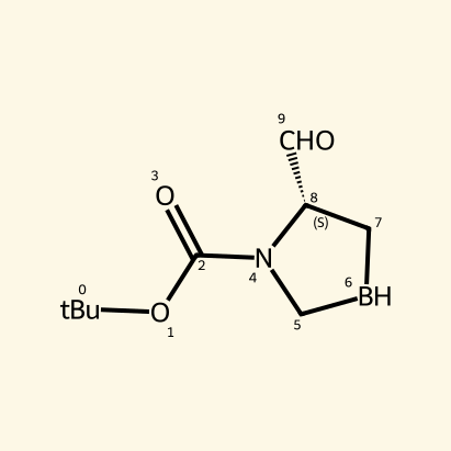 CC(C)(C)OC(=O)N1CBC[C@H]1C=O